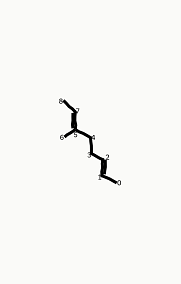 C/C=C/CC/C(C)=C/C